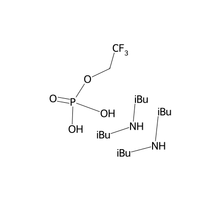 CCC(C)NC(C)CC.CCC(C)NC(C)CC.O=P(O)(O)OCC(F)(F)F